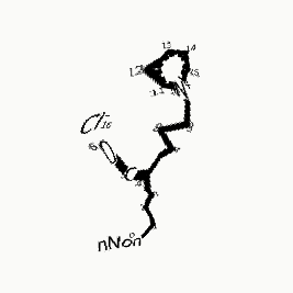 CCCCCCCCCCCCC(=C=O)CCC[n+]1ccccc1.[Cl-]